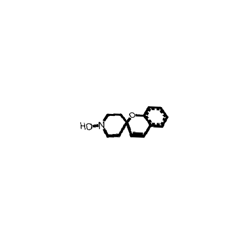 ON1CCC2(C=Cc3ccccc3O2)CC1